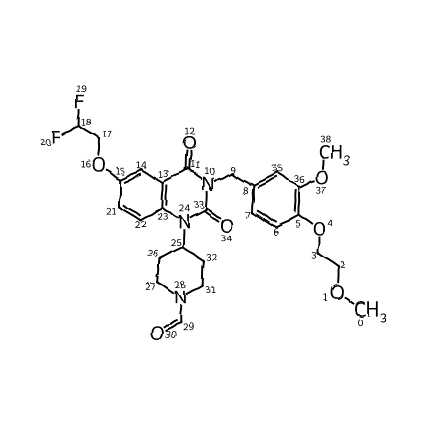 COCCOc1ccc(Cn2c(=O)c3cc(OCC(F)F)ccc3n(C3CCN(C=O)CC3)c2=O)cc1OC